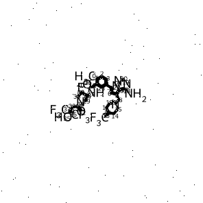 Cc1ccc(-c2cc(CN3CCC(C(F)(F)F)CC3)c3c(N)ncnn23)cc1C(=O)N[C@@H]1CN(C(=O)CC(O)(C(F)(F)F)C(F)(F)F)C[C@@H]1F